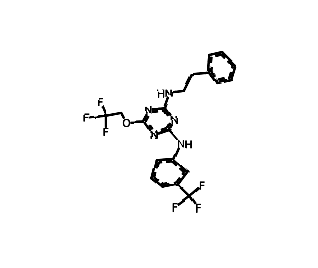 FC(F)(F)COc1nc(NCCc2ccccc2)nc(Nc2cccc(C(F)(F)F)c2)n1